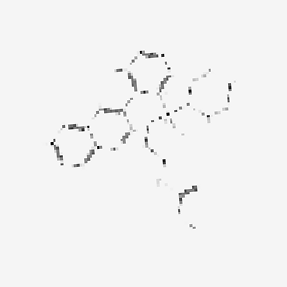 COC(=O)NCCCC(O)(c1cccc(F)c1-c1cnc2ccccc2c1)C1CCCNC1